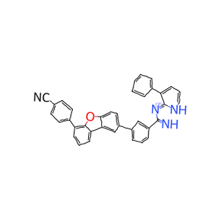 N#Cc1ccc(-c2cccc3c2oc2ccc(-c4cccc(C(=N)/N=c5\[nH]cccc5-c5ccccc5)c4)cc23)cc1